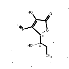 CC[C@H](O)[C@H]1OC(=O)C(O)=C1N=O